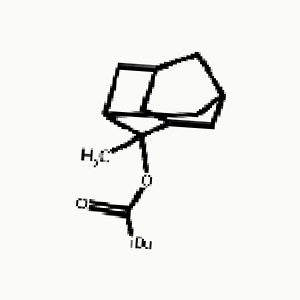 CCC(C)C(=O)OC1(C)C2CC3CC(C2)CC1C3